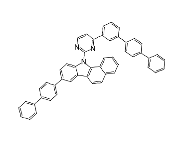 c1ccc(-c2ccc(-c3cccc(-c4ccnc(-n5c6ccc(-c7ccc(-c8ccccc8)cc7)cc6c6ccc7ccccc7c65)n4)c3)cc2)cc1